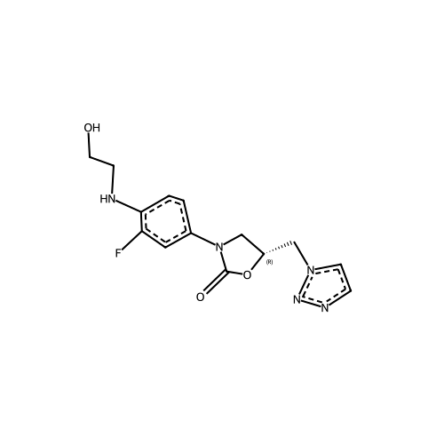 O=C1O[C@@H](Cn2ccnn2)CN1c1ccc(NCCO)c(F)c1